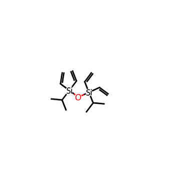 C=C[Si](C=C)(O[Si](C=C)(C=C)C(C)C)C(C)C